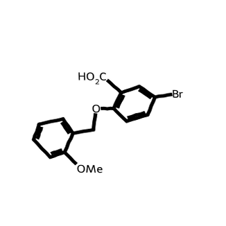 COc1ccccc1COc1ccc(Br)cc1C(=O)O